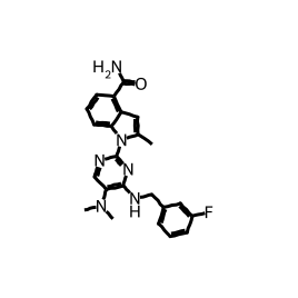 Cc1cc2c(C(N)=O)cccc2n1-c1ncc(N(C)C)c(NCc2cccc(F)c2)n1